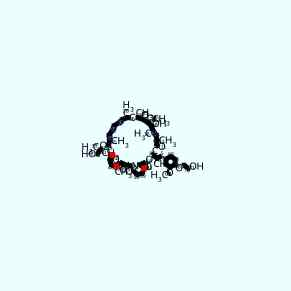 CO[C@@H]1C[C@H](C[C@@H](C)[C@@H]2CC(=O)[C@H](C)/C=C(\C)[C@@H](O)[C@@H](OC)C(=O)[C@H](C)C[C@H](C)/C=C/C=C/C=C(\C)[C@@H](OC(C)(C)CO)C[C@@H]3CC[C@@H](C)[C@@](O)(O3)C(=O)C(=O)N3CCCC[C@H]3C(=O)O2)CC[C@H]1OCCO